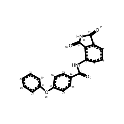 O=C(Nc1cccc2c1C(=O)NC2=O)c1ccc(Oc2ccccc2)cc1